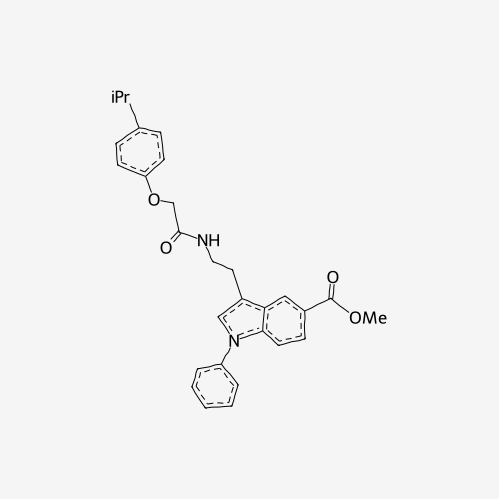 COC(=O)c1ccc2c(c1)c(CCNC(=O)COc1ccc(C(C)C)cc1)cn2-c1ccccc1